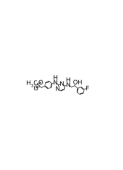 CS(=O)(=O)Cc1ccc(Nc2nccc(NCC(O)c3cccc(F)c3)n2)cc1